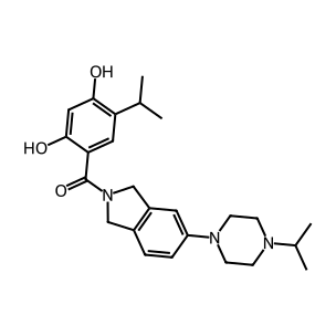 CC(C)c1cc(C(=O)N2Cc3ccc(N4CCN(C(C)C)CC4)cc3C2)c(O)cc1O